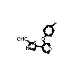 O=Cc1ncc(-c2ccncc2Oc2ccc(F)cc2)s1